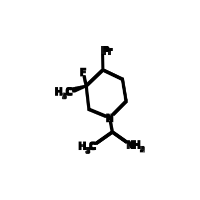 CC(C)C1CCN(C(C)N)C[C@]1(C)F